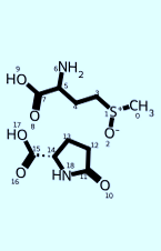 C[S+]([O-])CCC(N)C(=O)O.O=C1CC[C@@H](C(=O)O)N1